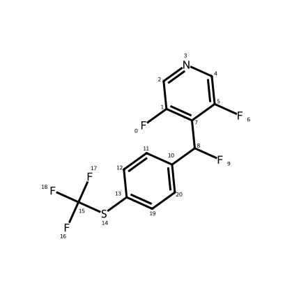 Fc1cncc(F)c1C(F)c1ccc(SC(F)(F)F)cc1